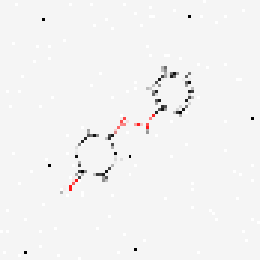 O=C1CCC(OOc2ccccc2)CC1